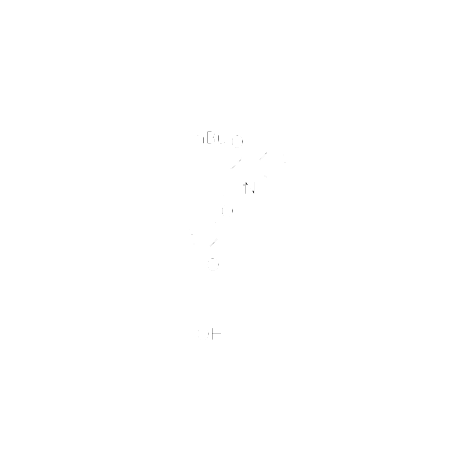 CCCCOc1c(C)c(COc2cccc(OCCCC(C)(C)O)c2)nc2ccccc12